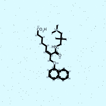 CN(C)CC(C)(C)CNC(=O)C(=CCCCCC(=O)O)COc1cccc2ccccc12